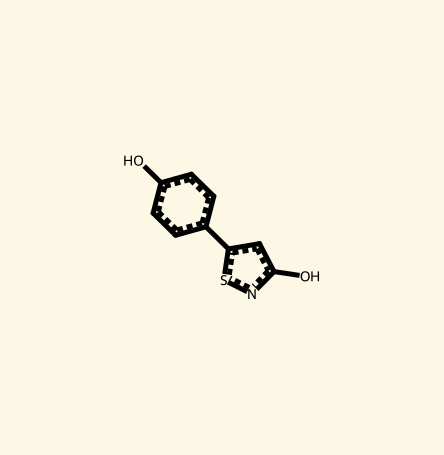 Oc1ccc(-c2cc(O)ns2)cc1